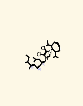 CCC(C)/C(C)=C/C=C\C(=C\N1CN(C2C(C(C)C)C=C=CCC2C(C)C)C(Cl)=C1Cl)CC(C)C